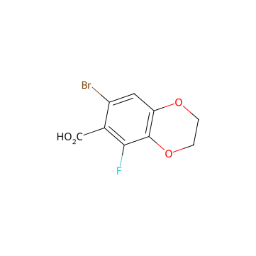 O=C(O)c1c(Br)cc2c(c1F)OCCO2